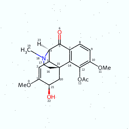 COC1=CC2[C@@H]3C(=O)c4ccc(OC)c(OC(C)=O)c4[C@]2(CCN3C)C[C@H]1O